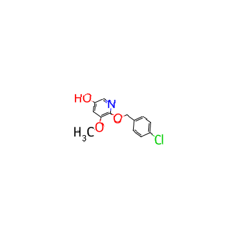 COc1cc(O)cnc1OCc1ccc(Cl)cc1